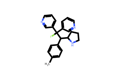 Cc1ccc(C(C2CCCN2)C(F)(c2cccnc2)c2cccnc2)cc1